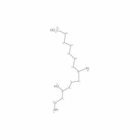 CCCOCC(O)CCCC(CCCCCCC(=O)O)C(C)=O